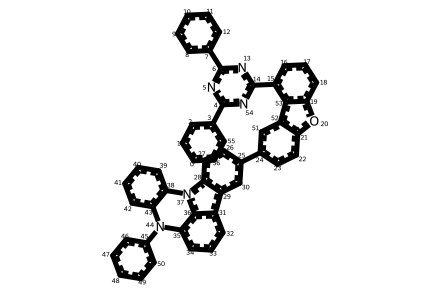 c1ccc(-c2nc(-c3ccccc3)nc(-c3cccc4oc5ccc(-c6ccc7c(c6)c6cccc8c6n7-c6ccccc6N8c6ccccc6)cc5c34)n2)cc1